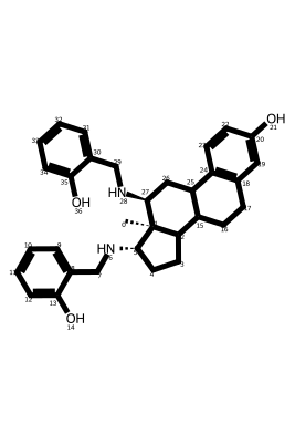 C[C@]12C(CC[C@@H]1NCc1ccccc1O)C1CCc3cc(O)ccc3C1C[C@@H]2NCc1ccccc1O